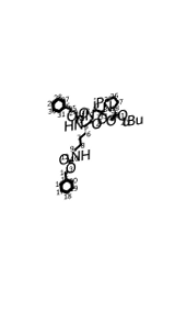 CC(C)[C@H](NC(=O)[C@H](CCCCNC(=O)OCc1ccccc1)NC(=O)OCc1ccccc1)C(=O)N1CCC[C@H]1C(=O)OC(C)(C)C